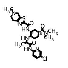 C=C(N[C@H]1CC[C@H](C(=O)N(C)C)C[C@H]1NC(=O)c1nc2c(s1)CN(C)CC2)C(=O)Nc1ccc(Cl)cn1